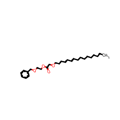 CCCCCCCCCCCCCCCCOCC(=O)OCCOCc1ccccc1